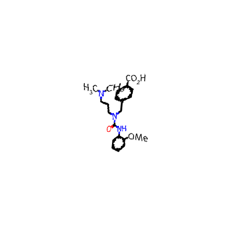 COc1ccccc1NC(=O)N(CCCN(C)C)Cc1ccc(C(=O)O)cc1